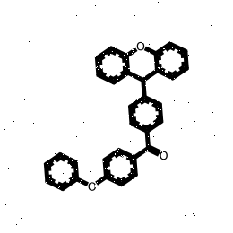 O=C(c1ccc(Oc2ccccc2)cc1)c1ccc(C2c3ccccc3Oc3ccccc32)cc1